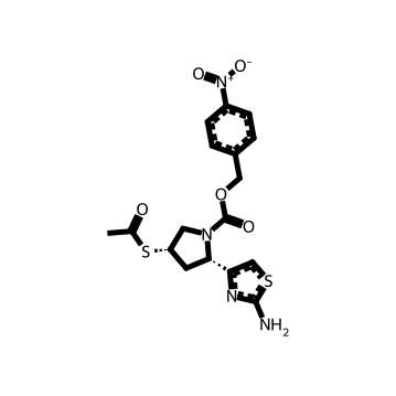 CC(=O)S[C@H]1C[C@@H](c2csc(N)n2)N(C(=O)OCc2ccc([N+](=O)[O-])cc2)C1